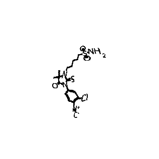 [C-]#[N+]c1ccc(N2C(=O)C(C)(C)N(CCCCCS(N)(=O)=O)C2=S)cc1Cl